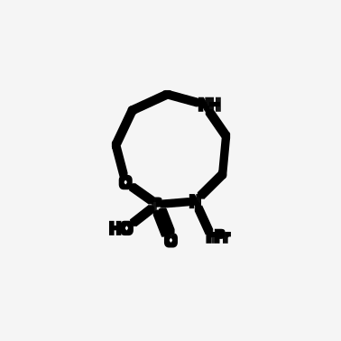 CCCN1CCNCCCOP1(=O)O